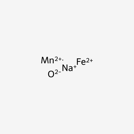 [Fe+2].[Mn+2].[Na+].[O-2]